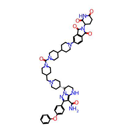 NC(=O)c1c(-c2ccc(Oc3ccccc3)cc2)nn2c1NCC[C@H]2C1CCN(CC2CCN(C(=O)N3CCC(C4CCN(c5ccc6c(c5)C(=O)N(C5CCC(=O)NC5=O)C6=O)CC4)CC3)CC2)CC1